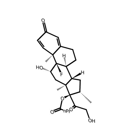 CCCC(=O)O[C@]1(C(=O)CO)[C@@H](C)C[C@H]2[C@@H]3CCC4=CC(=O)C=C[C@]4(C)[C@@]3(F)[C@@H](O)C[C@@]21C